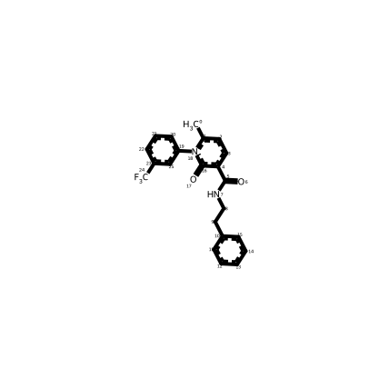 Cc1ccc(C(=O)NCCc2ccccc2)c(=O)n1-c1cccc(C(F)(F)F)c1